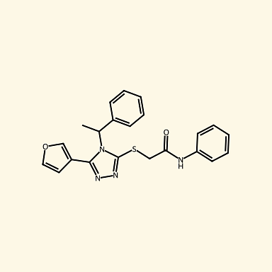 CC(c1ccccc1)n1c(SCC(=O)Nc2ccccc2)nnc1-c1ccoc1